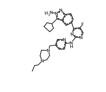 CCCN1CCN(Cc2ccc(Nc3ncc(F)c(-c4ccc5nn(N)c(C6CCCC6)c5c4)n3)nc2)CC1